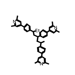 CCC(CC(CC(C)c1ccc(-c2cc(C)nc(C)c2)cc1)c1ccc(-c2cc(C)nc(C)c2)cc1)c1ccc(-c2cc(C)nc(C)c2)cc1